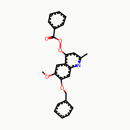 COc1cc2c(OOC(=O)c3ccccc3)cc(C)nc2cc1OCc1ccccc1